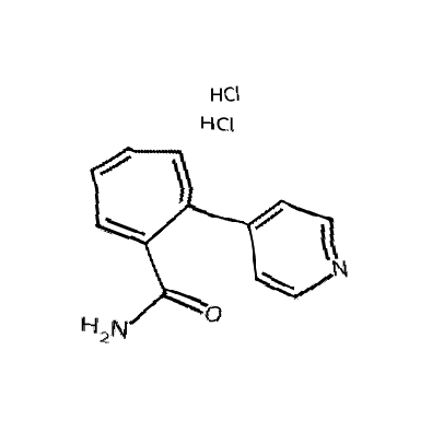 Cl.Cl.NC(=O)c1ccccc1-c1ccncc1